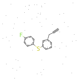 C#CCc1cccc(Sc2ccc(F)cc2)c1